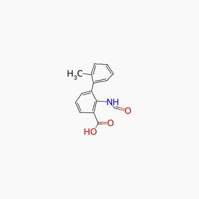 Cc1ccccc1-c1cccc(C(=O)O)c1NC=O